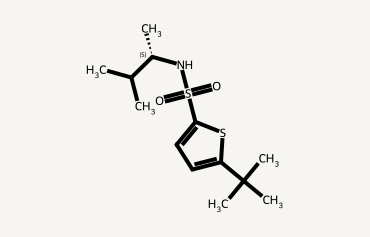 CC(C)[C@H](C)NS(=O)(=O)c1ccc(C(C)(C)C)s1